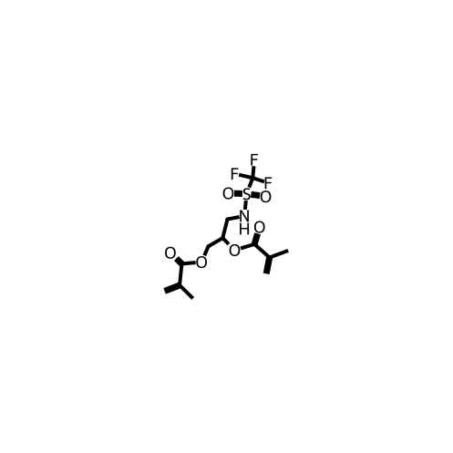 C=C(C)C(=O)OCC(CNS(=O)(=O)C(F)(F)F)OC(=O)C(=C)C